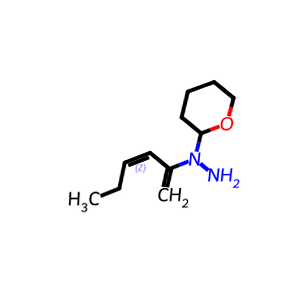 C=C(/C=C\CC)N(N)C1CCCCO1